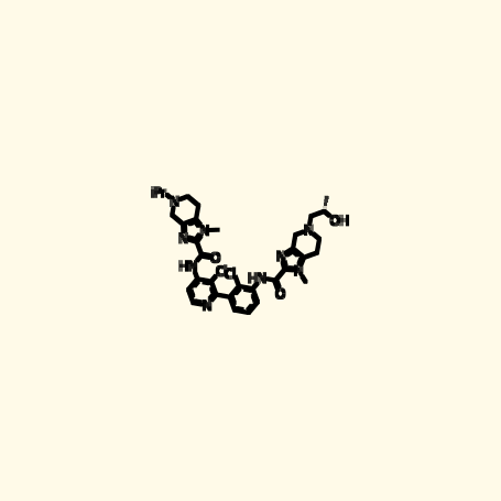 CC(C)N1CCc2c(nc(C(=O)Nc3ccnc(-c4cccc(NC(=O)c5nc6c(n5C)CCN(C[C@H](C)O)C6)c4Cl)c3Cl)n2C)C1